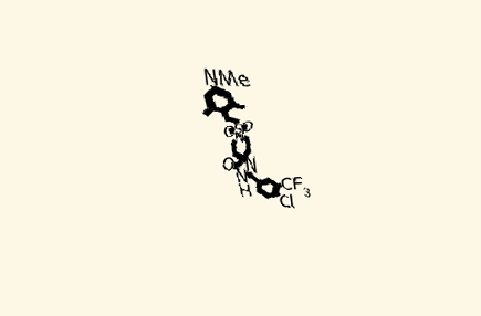 CNc1cc(C)c(CCS(=O)(=O)N2CCC3(CC2)N=C(c2ccc(Cl)c(C(F)(F)F)c2)NC3=O)c(C)c1